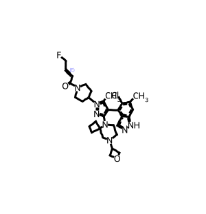 Cc1cc2[nH]ncc2c(-c2c(N3CCN(C4COC4)CC34CCC4)nn(C3CCN(C(=O)/C=C/CF)CC3)c2C)c1Cl